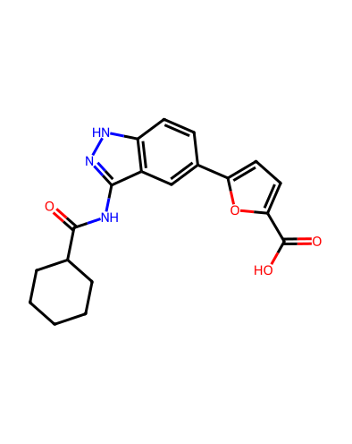 O=C(O)c1ccc(-c2ccc3[nH]nc(NC(=O)C4CCCCC4)c3c2)o1